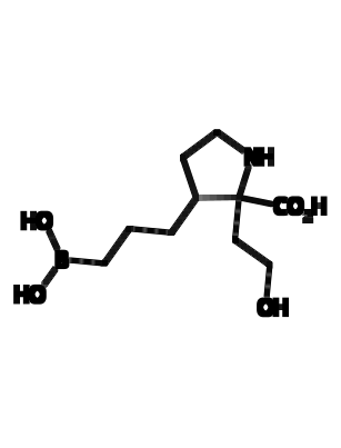 O=C(O)C1(CCO)NCCC1CCCB(O)O